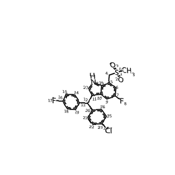 CS(=O)(=O)Cc1cc(F)cc2c(C(c3ccc(F)cc3)c3ccc(Cl)cc3)c[nH]c12